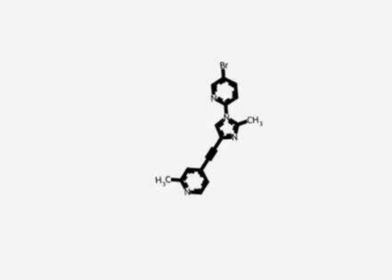 Cc1cc(C#Cc2cn(-c3ccc(Br)cn3)c(C)n2)ccn1